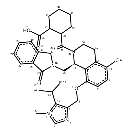 Cn1cnc(COc2ccc(Cl)c3c2[C@@H](CN2Cc4ccccc4C2=O)N(C(=O)C2CCCCC2C(=O)O)CC3)c1C(F)F